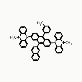 Cc1cccc(-c2c3ccc(N4c5ccccc5N(C)c5ccccc54)cc3c(-c3ccc4ccccc4c3)c3ccc(N4c5ccccc5N(C)c5ccccc54)cc23)c1